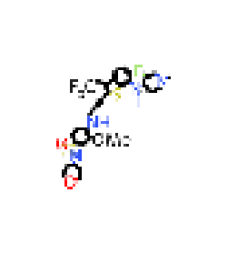 COc1cc(S(C)(=O)=NC2CCOCC2)ccc1NCC#Cc1sc2c(N[C@H]3CCN(C)C[C@@H]3F)cccc2c1CC(F)(F)F